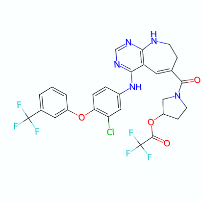 O=C(C1=Cc2c(ncnc2Nc2ccc(Oc3cccc(C(F)(F)F)c3)c(Cl)c2)NCC1)N1CCC(OC(=O)C(F)(F)F)C1